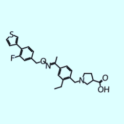 CCc1cc(C(C)=NOCc2ccc(-c3ccsc3)c(F)c2)ccc1CN1CCC(C(=O)O)C1